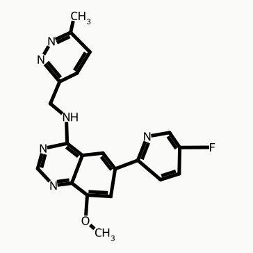 COc1cc(-c2ccc(F)cn2)cc2c(NCc3ccc(C)nn3)ncnc12